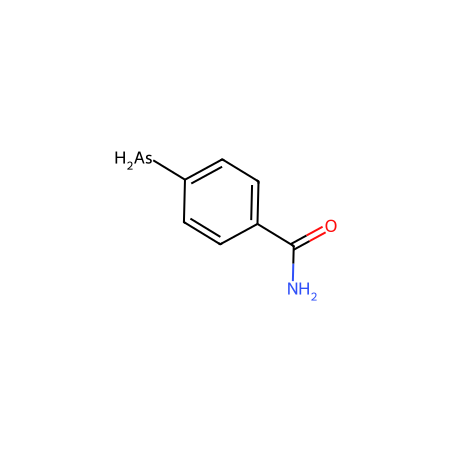 NC(=O)c1ccc([AsH2])cc1